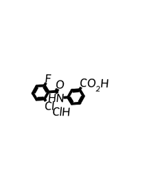 Cl.O=C(O)c1cccc(NC(=O)c2c(F)cccc2Cl)c1